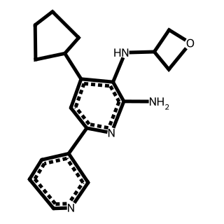 Nc1nc(-c2cccnc2)cc(C2CCCC2)c1NC1COC1